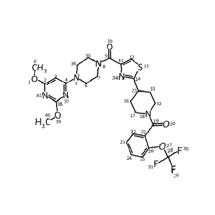 COc1cc(N2CCN(C(=O)c3csc(C4CCN(C(=O)c5ccccc5OC(F)(F)F)CC4)n3)CC2)nc(OC)n1